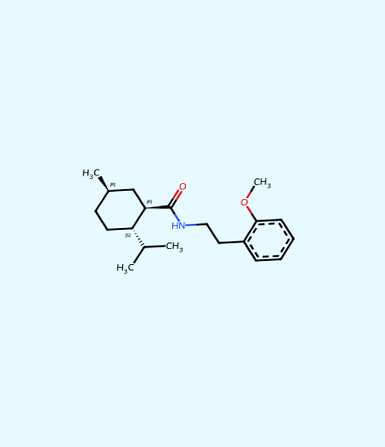 COc1ccccc1CCNC(=O)[C@@H]1C[C@H](C)CC[C@H]1C(C)C